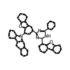 c1ccc(C2=NC(c3cc(-n4c5ccccc5c5cc6ccccc6cc54)c4oc5ccccc5c4c3)=NC(c3cccc4c3oc3ccccc34)N2)cc1